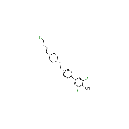 N#Cc1c(F)cc(-c2ccc(CC[C@H]3CC[C@H](/C=C/CCF)CC3)cc2)cc1F